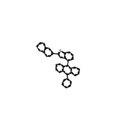 c1ccc(-c2c3ccccc3c(-c3cccc4sc(-c5ccc6ccccc6c5)cc34)c3ccccc23)cc1